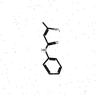 CC(N)=CC(=O)Nc1ccccc1